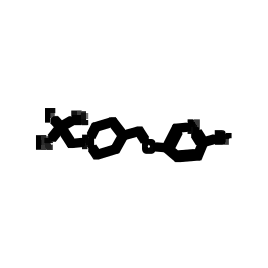 CCC(F)(CC)CN1CCC(COc2ccc(Br)nc2)CC1